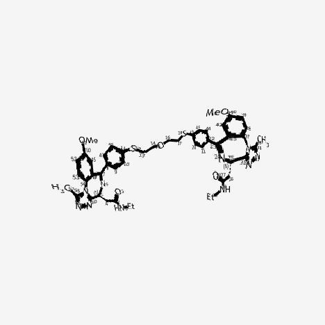 CCNC(=O)C[C@@H]1N=C(c2ccc(SCCOCCSc3ccc(C4=N[C@@H](CC(=O)NCC)c5nnc(C)n5-c5ccc(OC)cc54)cc3)cc2)c2cc(OC)ccc2-n2c(C)nnc21